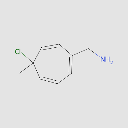 CC1(Cl)C=CC=C(CN)C=C1